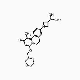 CSN(O)C1CN(c2ccc3c(c2)CCn2c(OC[C@@H]4COCCO4)cc(=O)c(C)c2-3)C1